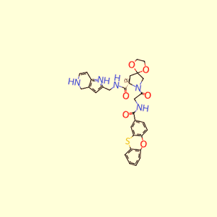 O=C(NCC(=O)N1CC2(C[C@H]1C(=O)NCc1cc3c([nH]1)C=CNC3)OCCO2)c1ccc2c(c1)Sc1ccccc1O2